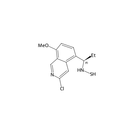 CC[C@@H](NS)c1ccc(OC)c2cnc(Cl)cc12